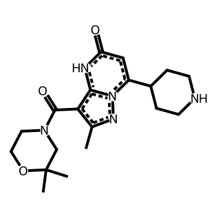 Cc1nn2c(C3CCNCC3)cc(=O)[nH]c2c1C(=O)N1CCOC(C)(C)C1